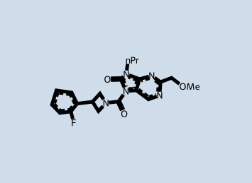 CCCn1c(=O)n(C(=O)N2CC(c3ccccc3F)C2)c2cnc(COC)nc21